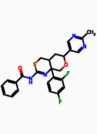 Cc1ncc(C2CC3CSC(NC(=O)c4ccccc4)=NC3(c3ccc(F)cc3F)CO2)cn1